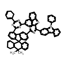 CC1(C)C2=C(C=CCC2)C2(c3ccc(-c4nc(-c5ccc6c7ccccc7n(-c7ccccc7)c6c5)c5sc6ccccc6c5n4)cc3-c3c(-c4nc(C5=CC=CCC5)nc(-c5ccccc5)n4)cccc32)c2ccccc21